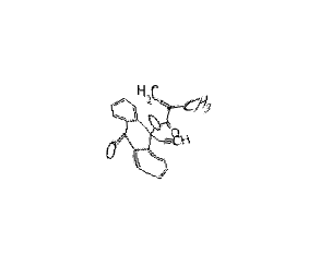 C#CC1(OC(=O)C(=C)C)c2ccccc2C(=O)c2ccccc21